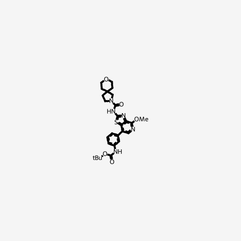 COc1ncc(-c2cccc(NC(=O)OC(C)(C)C)c2)c2sc(NC(=O)N3CCC4(CCOCC4)C3)nc12